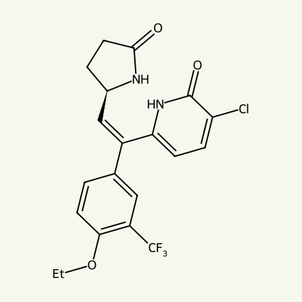 CCOc1ccc(/C(=C/[C@H]2CCC(=O)N2)c2ccc(Cl)c(=O)[nH]2)cc1C(F)(F)F